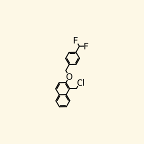 FC(F)c1ccc(COc2ccc3ccccc3c2CCl)cc1